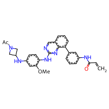 C=CC(=O)Nc1cccc(-c2cccc3cnc(Nc4ccc(NC5CN(C(C)=O)C5)cc4OC)nc23)c1